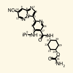 CC(C)Nc1cc(-c2cnc3cc(C#N)cnn23)ncc1C(=O)N[C@H]1CC[C@H](OC(N)=O)CC1